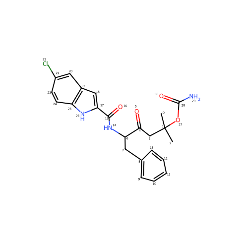 CC(C)(CC(=O)C(Cc1ccccc1)NC(=O)c1cc2cc(Cl)ccc2[nH]1)OC(N)=O